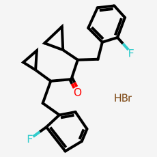 Br.O=C(C(Cc1ccccc1F)C1CC1)C(Cc1ccccc1F)C1CC1